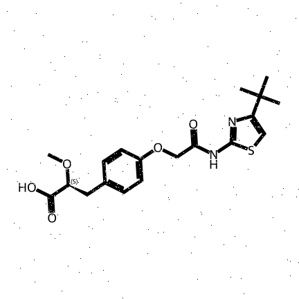 CO[C@@H](Cc1ccc(OCC(=O)Nc2nc(C(C)(C)C)cs2)cc1)C(=O)O